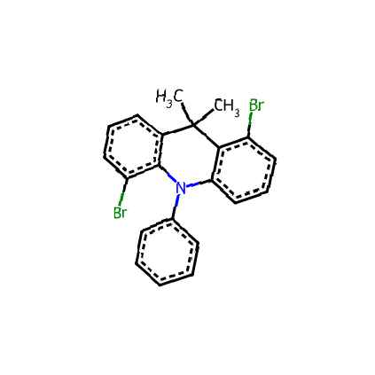 CC1(C)c2cccc(Br)c2N(c2ccccc2)c2cccc(Br)c21